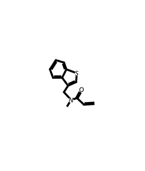 C=CC(=O)N(C)Cc1csc2ccccc12